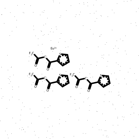 O=C([CH-]C(=O)C(F)(F)F)c1cccs1.O=C([CH-]C(=O)C(F)(F)F)c1cccs1.O=C([CH-]C(=O)C(F)(F)F)c1cccs1.[Eu+3]